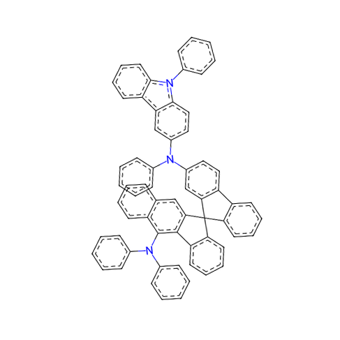 c1ccc(N(c2ccc3c(c2)C2(c4ccccc4-3)c3ccccc3-c3c2cc2ccccc2c3N(c2ccccc2)c2ccccc2)c2ccc3c(c2)c2ccccc2n3-c2ccccc2)cc1